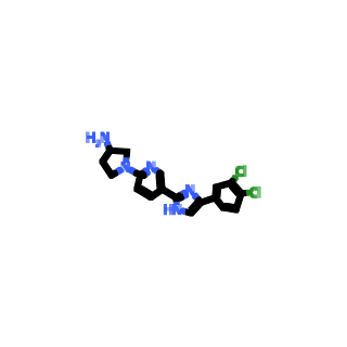 NC1CCN(c2ccc(-c3nc(-c4ccc(Cl)c(Cl)c4)c[nH]3)cn2)C1